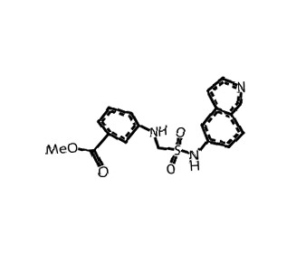 COC(=O)c1cccc(NCS(=O)(=O)Nc2ccc3cnccc3c2)c1